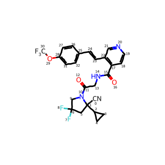 N#CC1(C2CC2)CC(F)(F)CN1C(=O)CNC(=O)c1ccncc1C=Cc1ccc(OC(F)(F)F)cc1